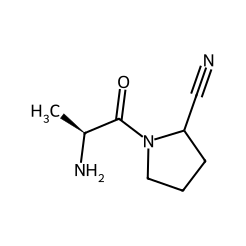 C[C@H](N)C(=O)N1CCCC1C#N